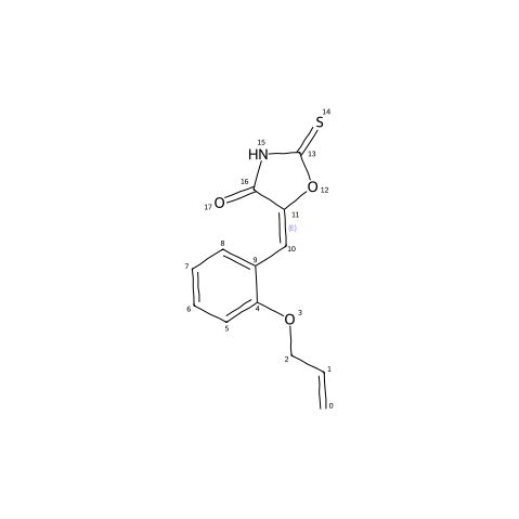 C=CCOc1ccccc1/C=C1/OC(=S)NC1=O